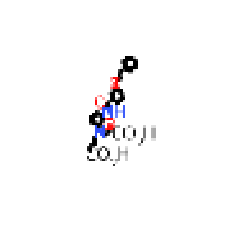 O=C(O)CCCN1CC(C(=O)O)Oc2c(NC(=O)c3cccc(OCCc4ccccc4)c3)cccc21